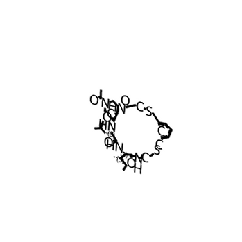 CC[C@H](C)[C@@H]1NC(=O)[C@H](CC(C)C)NC(=O)C2(CCN(C(C)=O)CC2)NC(=O)CCSCc2cccc(c2)CSCCNC1=O